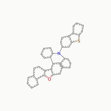 c1ccc(N(c2ccc3c(c2)sc2ccccc23)c2ccccc2-c2cccc3oc4c5ccccc5ccc4c23)cc1